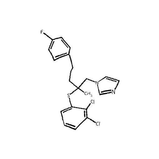 CC(CCc1ccc(F)cc1)(Cn1ccnc1)Sc1cccc(Cl)c1Cl